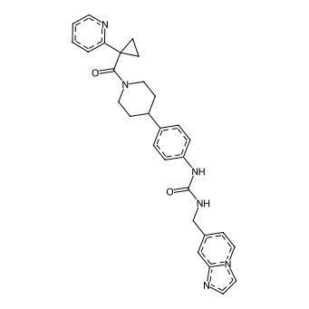 O=C(NCc1ccn2ccnc2c1)Nc1ccc(C2CCN(C(=O)C3(c4ccccn4)CC3)CC2)cc1